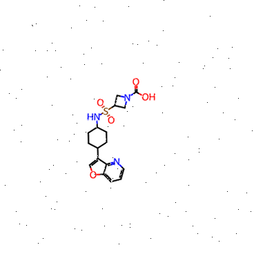 O=C(O)N1CC(S(=O)(=O)NC2CCC(c3coc4cccnc34)CC2)C1